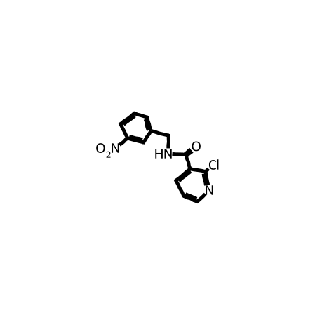 O=C(NCc1cccc([N+](=O)[O-])c1)c1cccnc1Cl